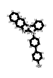 Brc1ccc(-c2ccc(-n3c4ccccc4n4c5cc6ccccc6cc5nc34)cc2)cc1